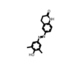 Cc1cc(N=Nc2ccc3c(c2)CCC(=O)N3)cc(C)c1O